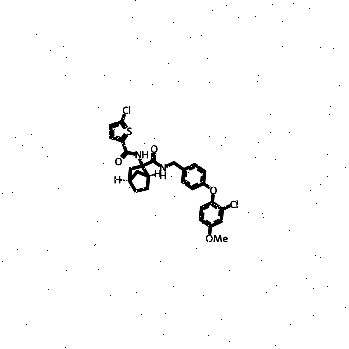 COc1ccc(Oc2ccc(CNC(=O)C3(NC(=O)c4ccc(Cl)s4)C[C@@H]4CC[C@H]3C4)cc2)c(Cl)c1